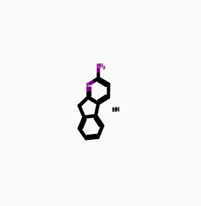 Pc1ccc2c(p1)Cc1ccccc1-2.[HH]